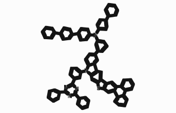 c1ccc(-c2ccc(-c3ccc(N(c4ccc(-c5ccccc5)cc4)c4cccc(-c5ccc6c(c5)c5cc7c(cc5n6-c5cccc(-c6nc(-c8ccccc8)nc(-c8ccccc8)n6)c5)sc5cc6c8ccccc8c8ccccc8c6cc57)c4)cc3)cc2)cc1